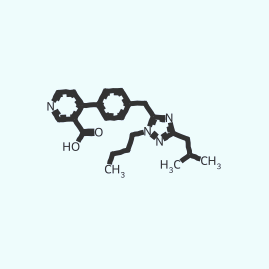 CCCCn1nc(CC(C)C)nc1Cc1ccc(-c2ccncc2C(=O)O)cc1